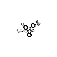 C=CCOC1(c2ccc(Cl)cc2)c2ccccc2C(=O)N1Cc1ccc([N+](=O)[O-])cc1